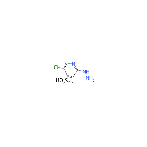 CS(=O)(=O)O.NNc1ccc(Cl)cn1